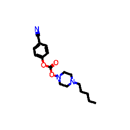 CCCCCN1CCN(OC(=O)Oc2ccc(C#N)cc2)CC1